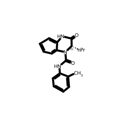 CCC[C@H]1C(=O)Nc2ccccc2N1C(=O)Nc1ccccc1C